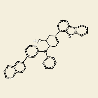 CC1CC(c2cccc3c2sc2ccccc23)=CCC1N(c1ccccc1)c1cccc(-c2ccc3ccccc3c2)c1